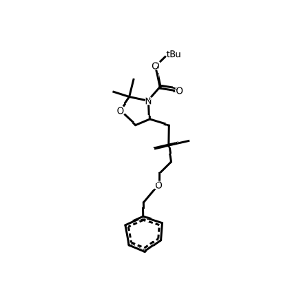 CC(C)(CCOCc1ccccc1)CC1COC(C)(C)N1C(=O)OC(C)(C)C